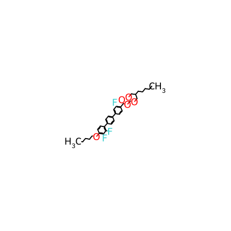 CCCCCOc1ccc(-c2ccc(-c3ccc(C(=O)OC4OCC(CCCCC)CO4)c(F)c3)cc2)c(F)c1F